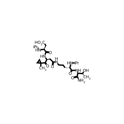 CC(C)N[C@@H](CC(=O)O)C(=O)N[C@@H](CC(=O)NCCC[C@H](NC(C)C)C(=O)N[C@H](C(N)=O)[C@@H](C)O)C(=O)C1(C)CC1